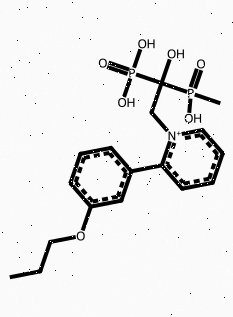 CCCOc1cccc(-c2cccc[n+]2CC(O)(P(C)(=O)O)P(=O)(O)O)c1